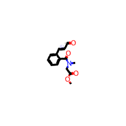 COC(=O)CN(C)C(=O)c1ccccc1/C=C/[C]=O